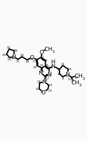 COc1cc2c(NC3CCN(C(C)C)CC3)nc(N3CCOCC3)nc2cc1OCCCN1CCCC1